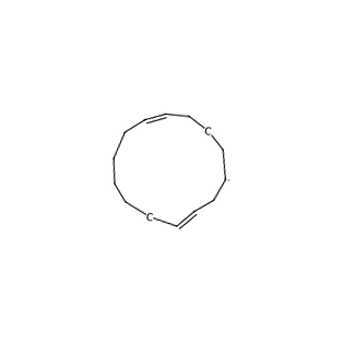 [CH]1C/C=C\CCCCC/C=C\CCC1